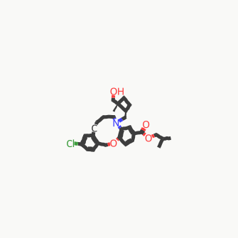 CC(C)COC(=O)c1ccc2c(c1)N(C[C@@H]1CC[C@@]1(C)CO)CCCCc1cc(Cl)ccc1CO2